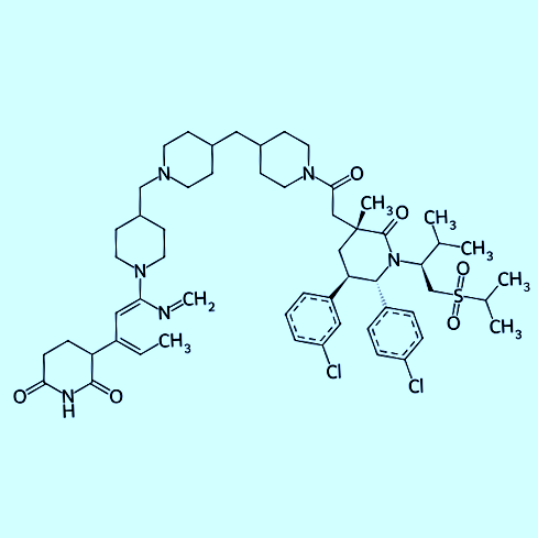 C=N/C(=C\C(=C/C)C1CCC(=O)NC1=O)N1CCC(CN2CCC(CC3CCN(C(=O)C[C@@]4(C)C[C@H](c5cccc(Cl)c5)[C@@H](c5ccc(Cl)cc5)N([C@H](CS(=O)(=O)C(C)C)C(C)C)C4=O)CC3)CC2)CC1